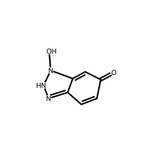 O=c1ccc2n[nH]n(O)c-2c1